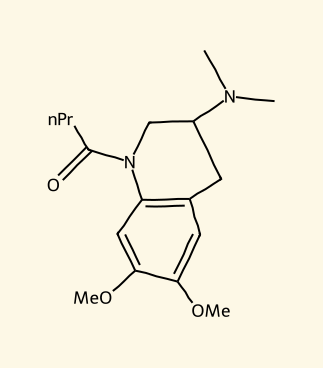 CCCC(=O)N1CC(N(C)C)Cc2cc(OC)c(OC)cc21